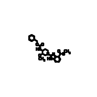 COC(=O)c1cccc2[nH]c(N3CCC(NC(=O)OCc4ccccc4)C(OC)C3)nc12